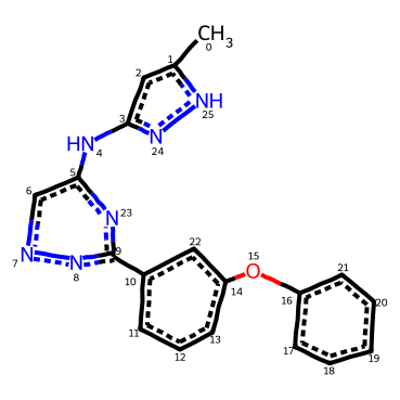 Cc1cc(Nc2cnnc(-c3cccc(Oc4ccccc4)c3)n2)n[nH]1